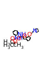 CC(C)(C)OC(=O)Nc1ccccc1NC(=O)c1cc2cccc(OCCN3CCCC3)c2o1